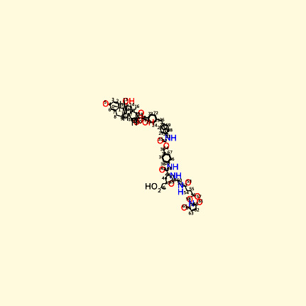 C[C@]12C=CC(=O)C=C1CC[C@@H]1[C@@H]2[C@@H](O)C[C@@]2(C)[C@H]1C[C@H]1OC(c3ccc(CC45CCC(NC(=O)OCc6ccc(NC(=O)[C@H](CCC(=O)O)NC(=O)CNC(=O)CCC(=O)ON7C(=O)C=CC7=O)cc6)(CC4)CC5)cc3)O[C@]12C(=O)CO